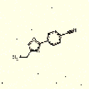 N#Cc1ccc(-c2nc(CN)co2)cc1